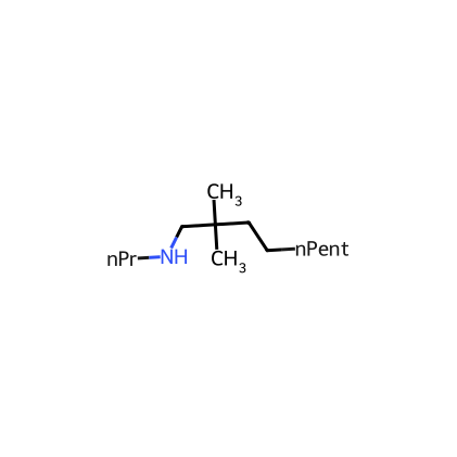 CCCCCCCC(C)(C)CNCCC